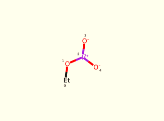 CCO[I+2]([O-])[O-]